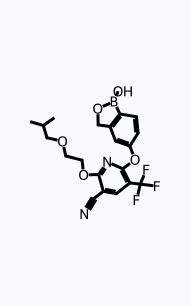 CC(C)COCCOc1nc(Oc2ccc3c(c2)COB3O)c(C(F)(F)F)cc1C#N